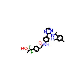 Cc1ccc(C(C)Nc2nccnc2-c2ccc(NC(=O)Cc3ccc(C(F)(F)C(C)O)cc3)cc2)c(C)c1